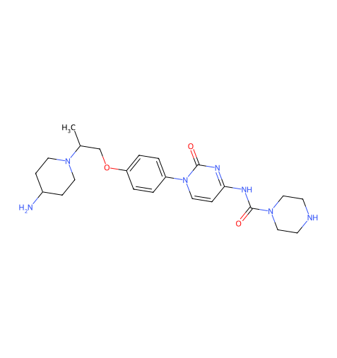 CC(COc1ccc(-n2ccc(NC(=O)N3CCNCC3)nc2=O)cc1)N1CCC(N)CC1